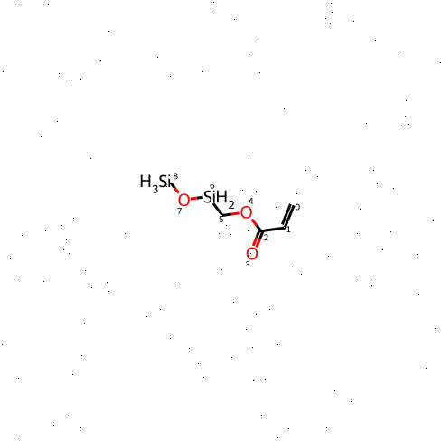 C=CC(=O)OC[SiH2]O[SiH3]